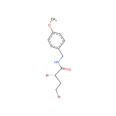 COc1ccc(CNC(=O)[C@@H](Br)CCBr)cc1